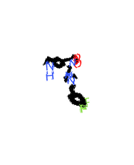 O=C1OCC(Cc2ccc3[nH]ccc3c2)N1CCCN1CCN(CCc2ccc(F)c(F)c2)CC1